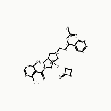 Cc1ncnc(C)c1C(=O)N1CC2CN(CCC(NC(=O)O)c3ccccc3)C[C@H]2C1.O=C1CCC1